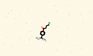 CC(C)c1ccc(C(=O)CCCBr)cc1